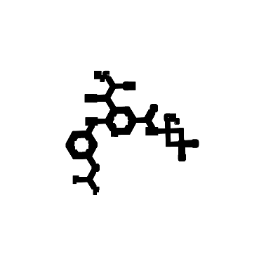 CC(O)C(=N)c1cc(C(=O)NC2(C)CS(=O)(=O)C2)cnc1Nc1cccc(OC(F)F)c1